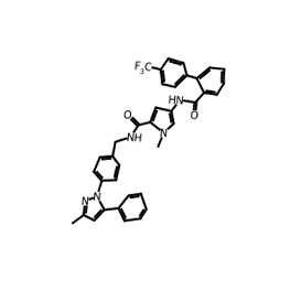 Cc1cc(-c2ccccc2)n(-c2ccc(CNC(=O)c3cc(NC(=O)c4ccccc4-c4ccc(C(F)(F)F)cc4)cn3C)cc2)n1